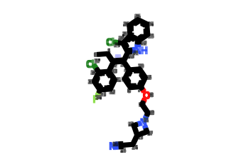 CC/C(=C(/c1ccc(OCCN2CC(CC#N)C2)cc1)c1[nH]c2ccccc2c1Cl)c1ccc(F)cc1Cl